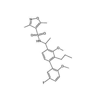 CCCc1c(-c2cc(F)ccc2OC)ccc(C(C)NS(=O)(=O)c2c(C)noc2C)c1OC